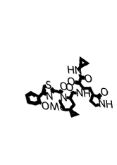 COc1ccccc1-c1csc(C(=O)N2CCC3(CC3)CC2C(=O)NC(CC2CCNC2=O)C(=O)C(=O)NC2CC2)n1